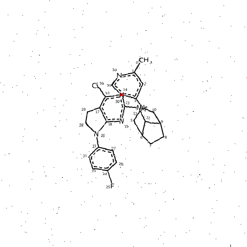 Cc1cc(N2CC3CCC(C2)C3Nc2nc(Cl)c3c(n2)N(c2ccc(F)cc2)CC3)ncn1